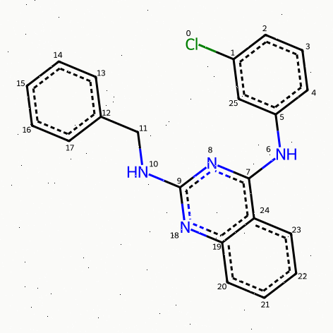 Clc1cccc(Nc2nc(NCc3ccccc3)nc3ccccc23)c1